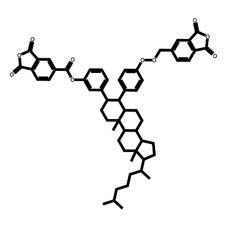 CC(C)CCCC(C)C1CCC2C3CCC4C(c5ccc(OOCc6ccc7c(c6)C(=O)OC7=O)cc5)C(c5cccc(OC(=O)c6ccc7c(c6)C(=O)OC7=O)c5)CCC4(C)C3CCC12C